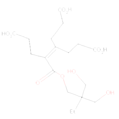 CCC(CO)(CO)COC(=O)C(CCC(=O)O)=C(CCC(=O)O)CCC(=O)O